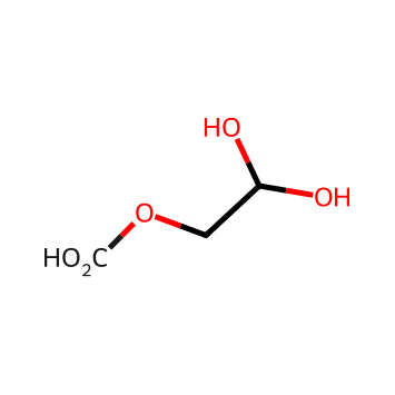 O=C(O)OCC(O)O